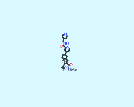 CON(C)C(=O)/C(=C/c1cc(-c2ccnc(C(=O)NCc3ccncc3)c2)ccc1C)CC1CC1